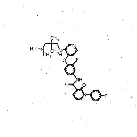 CN(C)CC(C)(C)CNc1cnccc1Oc1ccc(NC(=O)c2cccn(-c3ccc(F)cc3)c2=O)cc1F